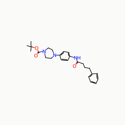 CC(C)(C)OC(=O)N1CCN(c2ccc(NC(=O)CCCc3ccccc3)cc2)CC1